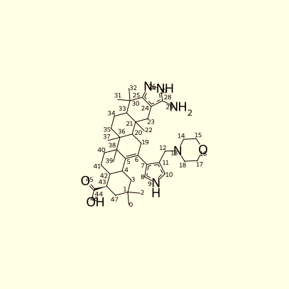 CC1(C)CC2C3=C(c4c[nH]cc4CN4CCOCC4)CC4C5(C)Cc6c(n[nH]c6N)C(C)(C)C5CCC4(C)C3(C)CCC2[C@H](C(=O)O)C1